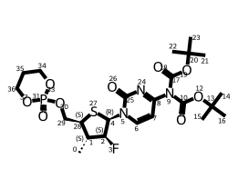 C[C@H]1[C@H](F)[C@H](n2ccc(N(C(=O)OC(C)(C)C)C(=O)OC(C)(C)C)nc2=O)S[C@@H]1COP1(=O)OCCCO1